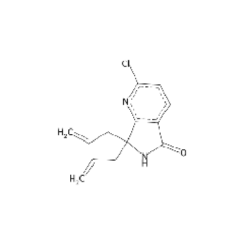 C=CCC1(CC=C)NC(=O)c2ccc(Cl)nc21